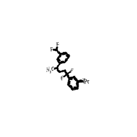 CC(C)c1cccc(C(F)(F)CCC(C)c2cccc(C(F)F)c2)c1